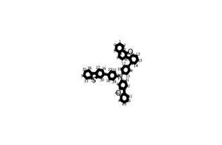 c1ccc2c(c1)ccc1c2oc2cccc(-c3ccc(N(c4ccc(-c5ccc6c(c5)sc5ccccc56)cc4)c4ccc5c(c4)oc4ccccc45)cc3)c21